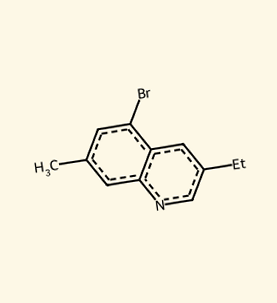 CCc1cnc2cc(C)cc(Br)c2c1